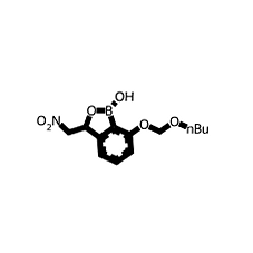 CCCCOCOc1cccc2c1B(O)OC2C[N+](=O)[O-]